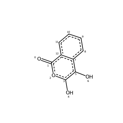 O=c1oc(O)c(O)c2ccccc12